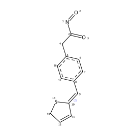 O=NC(=O)Cc1ccc(/C=C2/C=CCS2)cc1